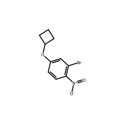 O=[N+]([O-])c1ccc(OC2CCC2)cc1Br